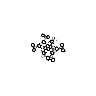 Cc1cc(-n2c3ccccc3c3ccccc32)cc(C)c1B(c1c(C)cc(-n2c3ccccc3c3ccccc32)cc1C)c1cc(-c2c(C)cc(C(F)(F)F)cc2C)c2ccc3c(B(c4c(C)cc(-n5c6ccccc6c6ccccc65)cc4C)c4c(C)cc(-n5c6ccccc6c6ccccc65)cc4C)cc(-c4c(C)cc(C(F)(F)F)cc4C)c4ccc1c2c34